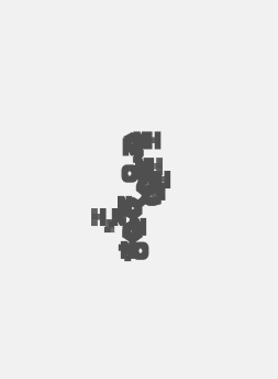 CN(C)C(=O)c1ccc(-c2cc(-c3ccnc4[nH]c(C(=O)NCCc5ncc[nH]5)cc34)cnc2N)nc1